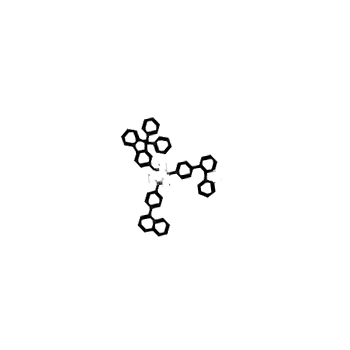 c1ccc(C2(c3ccccc3)c3ccccc3-c3ccc(-c4nc(-c5ccc(-c6cccc7ccccc67)cc5)nc(-c5ccc(-c6cccc7sc8ccccc8c67)cc5)n4)cc32)cc1